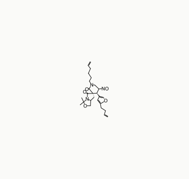 C=CCCCCN1CC(N=O)[C@@H](c2coc(CCC=C)c2)[C@]2(CC3COC(C)(C)N3C2=O)C1=O